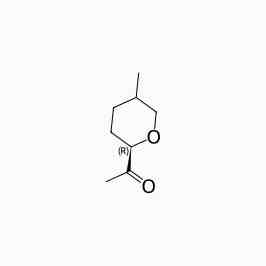 CC(=O)[C@H]1CCC(C)CO1